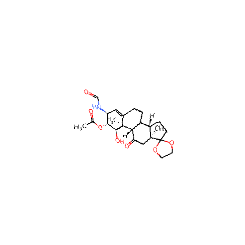 CC(=O)O[C@@H]1[C@@H](NC=O)C=C2CCC3[C@H](C(=O)C[C@@]4(C)[C@H]3CCC43OCCO3)[C@@]2(C)[C@H]1O